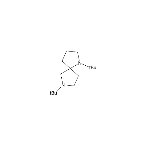 CC(C)(C)N1CCC2(CCCN2C(C)(C)C)C1